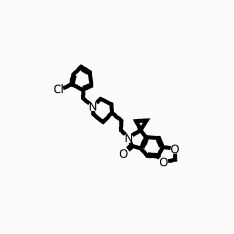 O=C1c2cc3c(cc2C2(CC2)N1CCC1CCN(Cc2ccccc2Cl)CC1)OCO3